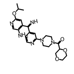 CC(C)Oc1cc(C(=N)c2ccnc(N3CCN(C(=O)C4COCCO4)CC3)c2)c(N)cn1